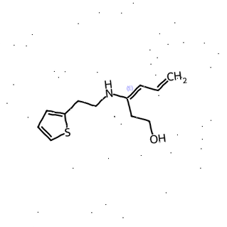 C=C/C=C(\CCO)NCCc1cccs1